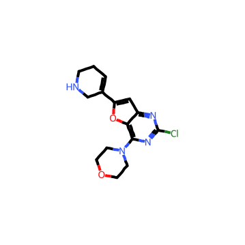 Clc1nc(N2CCOCC2)c2oc(C3=CCCNC3)cc2n1